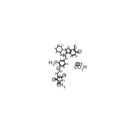 Cc1cc(CN(CC2CCCCC2)[C@H]2CCc3c2ccc(Cl)c3F)ccc1OCCN1C(=O)CN(C)C1=O.O=C(O)O